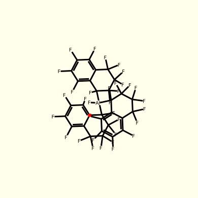 Fc1c(F)c(F)c2c(c1F)C(F)(F)C(F)(F)C(F)(F)[C]2(F)[Al-]([F])([C]1(F)c2c(F)c(F)c(F)c(F)c2C(F)(F)C(F)(F)C1(F)F)[C]1(F)c2c(F)c(F)c(F)c(F)c2C(F)(F)C(F)(F)C1(F)F